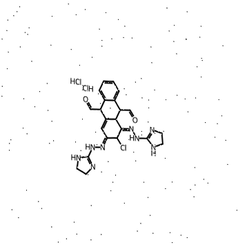 Cl.Cl.O=CC1C2=CC(=NNC3=NCCN3)C(Cl)C(=NNC3=NCCN3)C2C(C=O)c2ccccc21